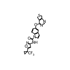 O=C(Nc1cc(C2(C(F)(F)F)CC2)on1)n1ccc2cc(Oc3ncnc4c3CSC4)ccc21